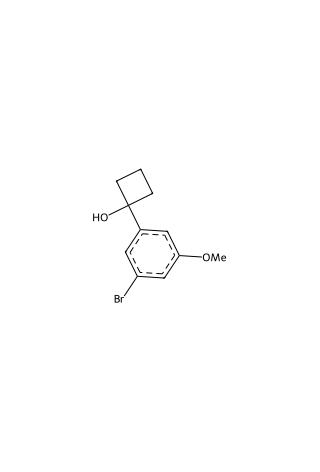 COc1cc(Br)cc(C2(O)CCC2)c1